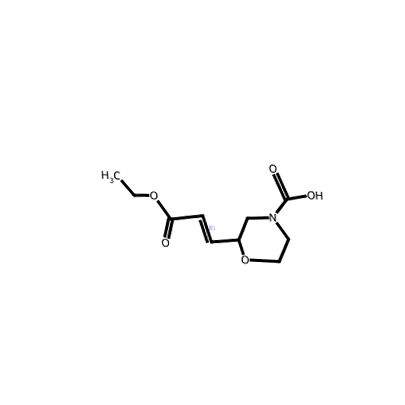 CCOC(=O)/C=C/C1CN(C(=O)O)CCO1